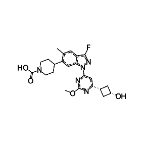 COc1nc(-n2nc(F)c3cc(C)c(C4CCN(C(=O)O)CC4)cc32)cc([C@H]2C[C@@H](O)C2)n1